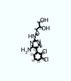 Nc1nc(NOCC(O)CO)nnc1-c1cccc(Cl)c1Cl